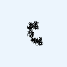 COC(=O)N[C@@H](C(=O)N[C@@H](C)c1ncc(-c2cc(F)c(N3CCC(c4cnc([C@@H]5CCCN5C(=O)[C@H](NC(=O)OC)c5ccccc5)[nH]4)CC3)c(F)c2)[nH]1)c1ccccc1